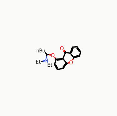 CCCCC(Oc1cccc2oc3ccccc3c(=O)c12)N(CC)CC